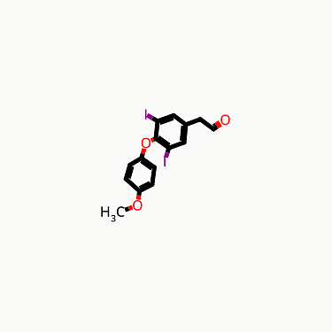 COc1ccc(Oc2c(I)cc(CC=O)cc2I)cc1